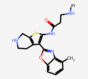 Cc1cccc2oc(-c3c(NC(=O)CCNC(C)C)sc4c3CCNC4)nc12